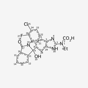 CCN(C(=O)O)c1nc2ccc(C3(O)c4ccccc4C(=O)N3c3cccc(Cl)c3F)cc2[nH]1